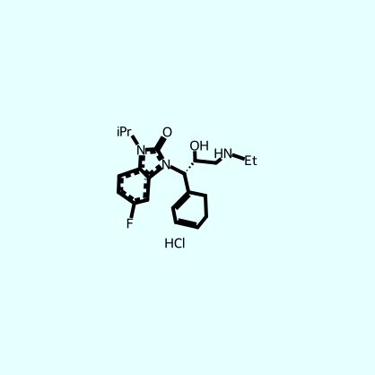 CCNCC(O)[C@H](C1=CC=CCC1)n1c(=O)n(C(C)C)c2ccc(F)cc21.Cl